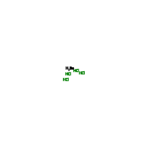 Cl.Cl.Cl.Cl.[BeH2]